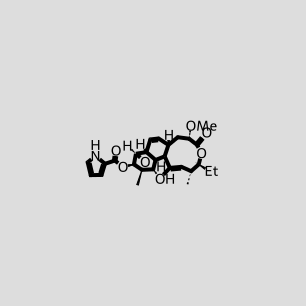 CC[C@@H]1OC(=O)[C@@H](OC)C[C@H]2C=C[C@H]3[C@H]4O[C@]2(/C(C)=C/[C@H]1C)[C@@H]3[C@H](O)[C@@H](C)[C@H]4OC(=O)c1ccc[nH]1